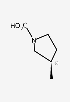 C[C@@H]1CCN(C(=O)O)C1